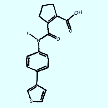 O=C(O)C1=C(C(=O)N(F)c2ccc(-c3ccsc3)cc2)CCC1